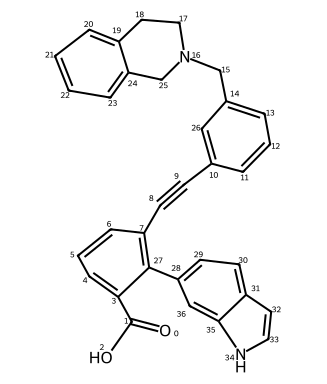 O=C(O)c1cccc(C#Cc2cccc(CN3CCc4ccccc4C3)c2)c1-c1ccc2cc[nH]c2c1